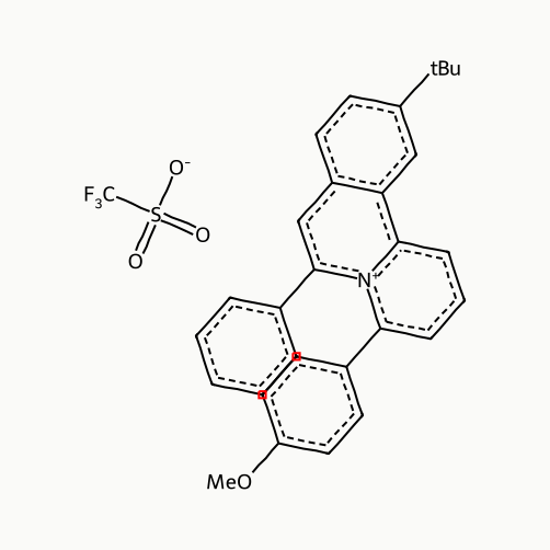 COc1ccc(-c2cccc3c4cc(C(C)(C)C)ccc4cc(-c4ccccc4)[n+]23)cc1.O=S(=O)([O-])C(F)(F)F